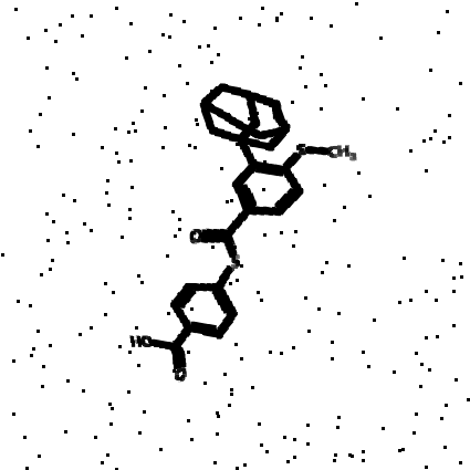 CSc1ccc(C(=O)Sc2ccc(C(=O)O)cc2)cc1C12CC3CC(CC(C3)C1)C2